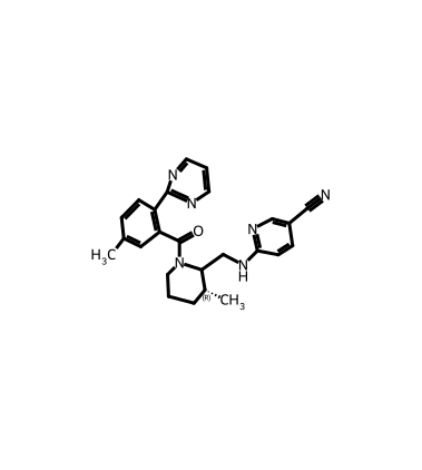 Cc1ccc(-c2ncccn2)c(C(=O)N2CCC[C@@H](C)C2CNc2ccc(C#N)cn2)c1